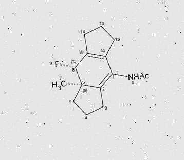 CC(=O)NC1=C2CCC[C@@]2(C)[C@H](F)C2=C1CCC2